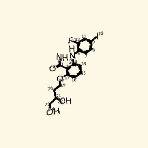 NC(=O)c1c(Nc2ccc(I)cc2F)cccc1OCCC(O)CO